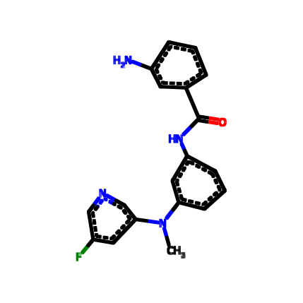 CN(c1cncc(F)c1)c1cccc(NC(=O)c2cccc(N)c2)c1